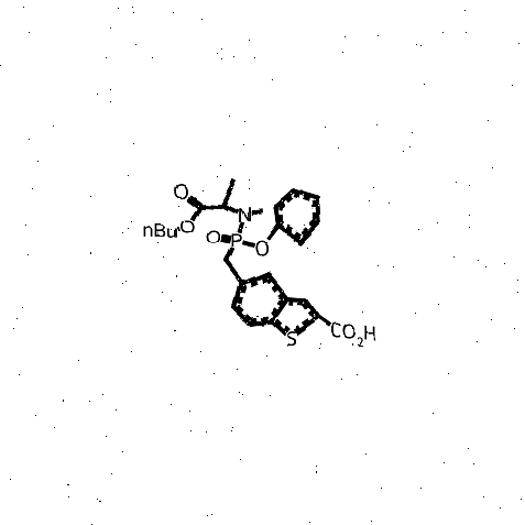 CCCCOC(=O)C(C)N(C)P(=O)(Cc1ccc2sc(C(=O)O)cc2c1)Oc1ccccc1